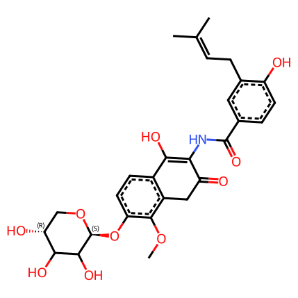 COc1c(O[C@@H]2OC[C@@H](O)C(O)C2O)ccc2c1CC(=O)C(NC(=O)c1ccc(O)c(CC=C(C)C)c1)=C2O